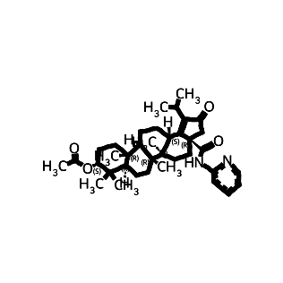 CC(=O)O[C@H]1CC[C@]2(C)[C@H]3CC[C@@H]4C5=C(C(C)C)C(=O)C[C@]5(C(=O)Nc5ccccn5)CC[C@@]4(C)[C@]3(C)CC[C@H]2C1(C)C